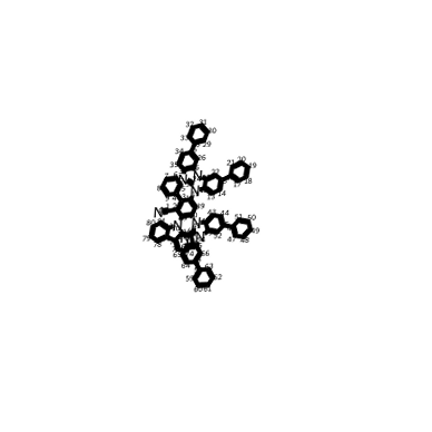 N#Cc1c(-c2ccccc2)c(-n2c3ccc(-c4ccccc4)cc3n3c4cc(-c5ccccc5)ccc4nc23)cc(-n2c3ccc(-c4ccccc4)cc3n3c4cc(-c5ccccc5)ccc4nc23)c1-n1c2ccccc2c2ccccc21